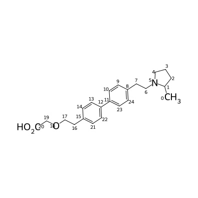 CC1CCCN1CCc1ccc(-c2ccc(CCOCC(=O)O)cc2)cc1